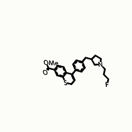 COC(=O)c1ccc2c(c1)SCC=C2c1ccc(CC2CCN(CCCF)C2)cc1